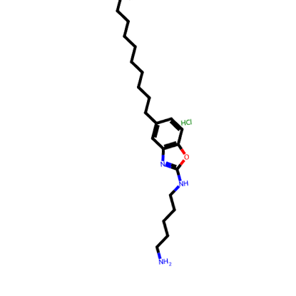 CCCCCCCCCCc1ccc2oc(NCCCCCN)nc2c1.Cl